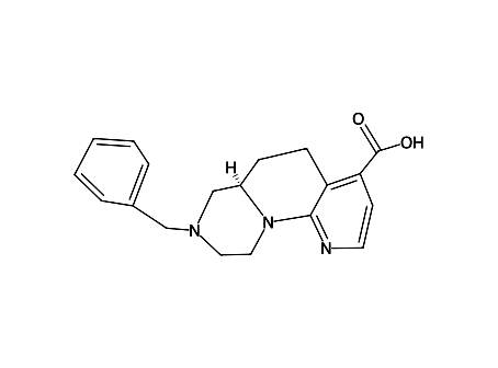 O=C(O)c1ccnc2c1CC[C@@H]1CN(Cc3ccccc3)CCN21